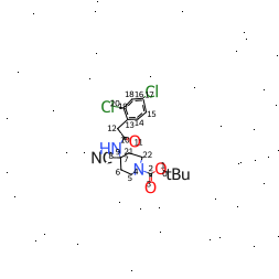 CC(C)(C)OC(=O)N1CCC(C#N)(NC(=O)Cc2ccc(Cl)cc2Cl)CC1